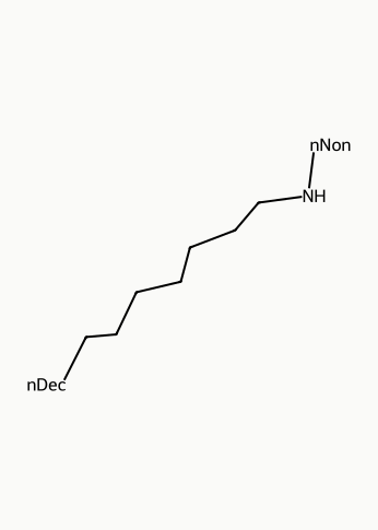 CCCCCCCCCCCCCCCCCNCCCCCCCCC